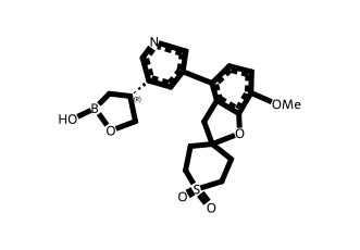 COc1ccc(-c2cncc([C@@H]3COB(O)C3)c2)c2c1OC1(CCS(=O)(=O)CC1)C2